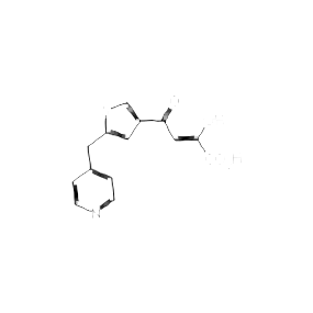 O=C(O)/C(O)=C/C(=O)c1csc(Cc2ccncc2)c1